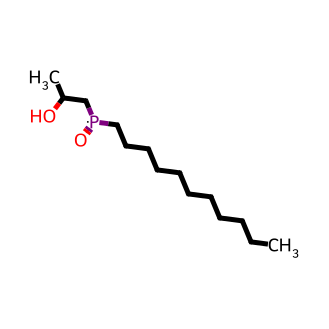 CCCCCCCCCCC[P](=O)CC(C)O